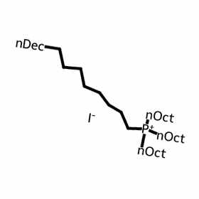 CCCCCCCCCCCCCCCCCC[P+](CCCCCCCC)(CCCCCCCC)CCCCCCCC.[I-]